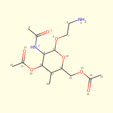 CC(=O)NC1C(OCCN)OC(COC(C)=O)C(C)C1OC(C)=O